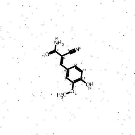 COc1cc(/C=C(\C#N)C(N)=O)ccc1O